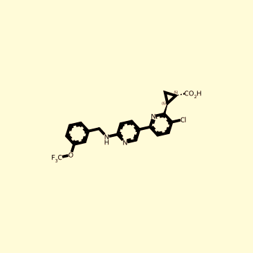 O=C(O)[C@H]1C[C@@H]1c1nc(-c2ccc(NCc3cccc(OC(F)(F)F)c3)nc2)ccc1Cl